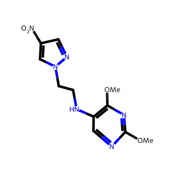 COc1ncc(NCCn2cc([N+](=O)[O-])cn2)c(OC)n1